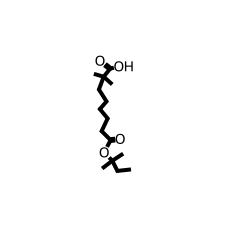 CCC(C)(C)OC(=O)CCCCCC(C)(C)C(=O)O